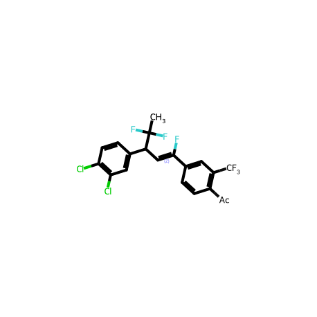 CC(=O)c1ccc(/C(F)=C/C(c2ccc(Cl)c(Cl)c2)C(C)(F)F)cc1C(F)(F)F